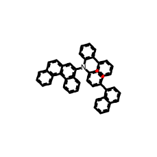 c1ccc(-c2ccccc2N(c2ccc(-c3cccc4ccccc34)cc2)c2cc3ccc4ccccc4c3c3ccccc23)cc1